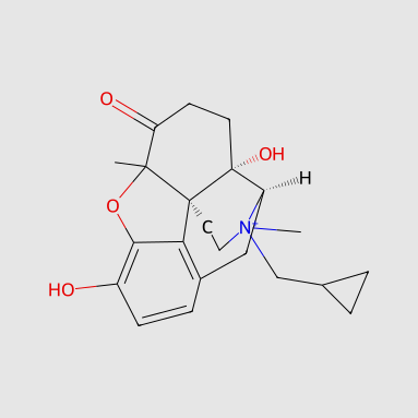 CC12Oc3c(O)ccc4c3[C@@]13CC[N+](C)(CC1CC1)[C@H](C4)[C@]3(O)CCC2=O